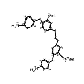 CCCCCc1cc(CCCc2ccc(Cc3ccc(N)cc3)c(CCCCC)c2)ccc1Cc1ccc(N)cc1